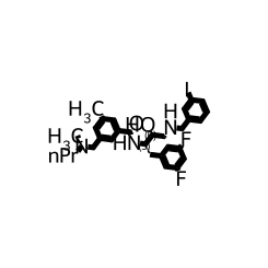 CCCN(C)Cc1cc(C)cc(C(=O)N[C@@H](Cc2cc(F)cc(F)c2)[C@H](O)CNCc2cccc(I)c2)c1